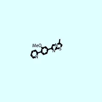 COc1cc(-c2cn3c(C)csc3n2)ccc1-c1ccccn1